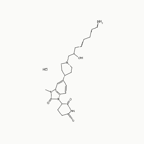 Cl.Cn1c(=O)n(C2CCC(=O)NC2=O)c2ccc(C3CCN(CC(O)CCCCCCN)CC3)cc21